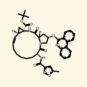 Cc1cc(C(=O)N[C@H]2CCCCCC=C[C@@H]3C[C@@]3(C(=O)OC(C)(C)C)NC(=O)[C@@H]3C[C@@H](Oc4nc5ccccc5c5ccccc45)CN3C2=O)no1